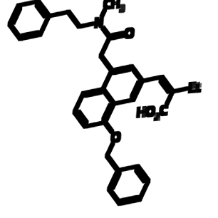 CCC(=Cc1cc(CC(=O)N(C)CCc2ccccc2)c2cccc(OCc3ccccc3)c2c1)C(=O)O